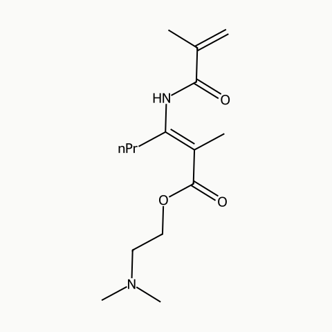 C=C(C)C(=O)NC(CCC)=C(C)C(=O)OCCN(C)C